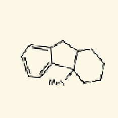 CNC12CCCCC1Cc1ccccc12